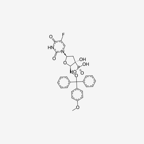 COc1ccc(C(OC[C@H]2O[C@@H](n3cc(F)c(=O)[nH]c3=O)C[C@@]2(O)P(=O)(O)O)(c2ccccc2)c2ccccc2)cc1